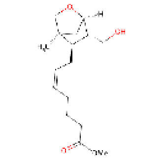 COC(=O)CCC/C=C\C[C@@H]1[C@@H](CO)[C@H]2C[C@]1(C)CO2